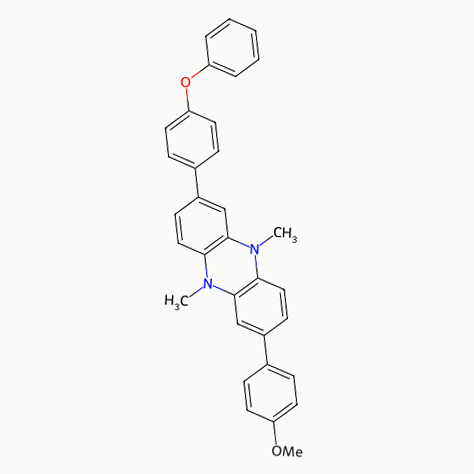 COc1ccc(-c2ccc3c(c2)N(C)c2ccc(-c4ccc(Oc5ccccc5)cc4)cc2N3C)cc1